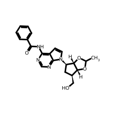 CC1O[C@@H]2[C@@H](CO)C[C@@H](n3ccc4c(NC(=O)c5ccccc5)ncnc43)[C@@H]2O1